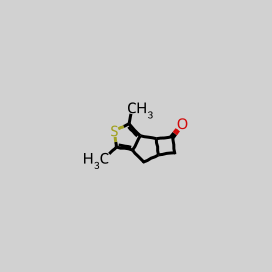 Cc1sc(C)c2c1CC1CC(=O)C21